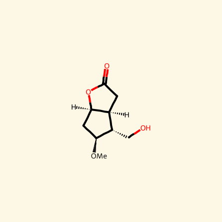 CO[C@H]1C[C@H]2OC(=O)C[C@H]2[C@@H]1CO